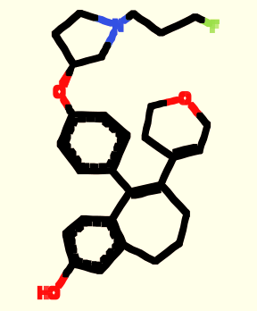 Oc1ccc2c(c1)CCCC(C1=CCOCC1)=C2c1ccc(O[C@H]2CCN(CCCF)C2)cc1